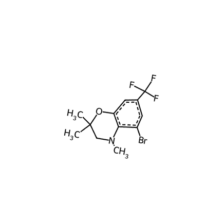 CN1CC(C)(C)Oc2cc(C(F)(F)F)cc(Br)c21